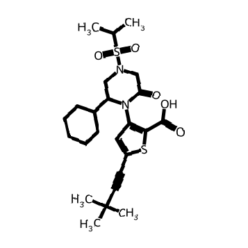 CC(C)S(=O)(=O)N1CC(=O)N(c2cc(C#CC(C)(C)C)sc2C(=O)O)C(C2CCCCC2)C1